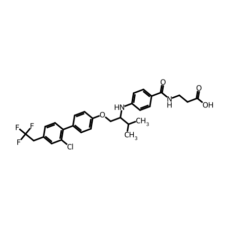 CC(C)C(COc1ccc(-c2ccc(CC(F)(F)F)cc2Cl)cc1)Nc1ccc(C(=O)NCCC(=O)O)cc1